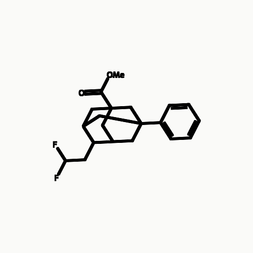 COC(=O)C12CC3CC(c4ccccc4)(CC(C1)C3CC(F)F)C2